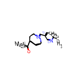 C=C(C)/N=C\C(=C/C)CN1CCC(C(=O)NC)CC1